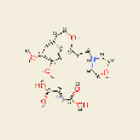 COc1cc2c(cc1OC)C(CCN1CCOCC1)OCC2.O=C(O)/C=C/C(=O)O